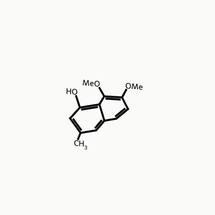 COc1ccc2cc(C)cc(O)c2c1OC